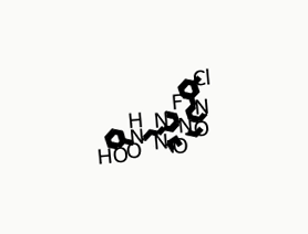 CN(C1COC1)C(CCNC(=O)c1ccccc1O)c1cc(N2CCOc3cnc(-c4cc(Cl)ccc4F)cc32)ccn1